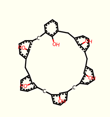 Oc1c2cccc1Cc1cccc(c1O)Cc1cccc(c1O)Cc1cccc(c1O)Cc1cccc(c1O)Cc1cccc(c1O)C2